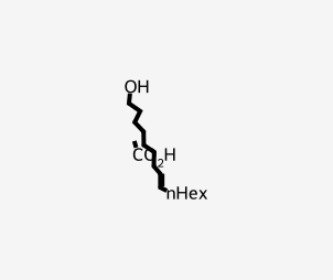 CC(=O)O.CCCCCCC=CCCCCCCCO